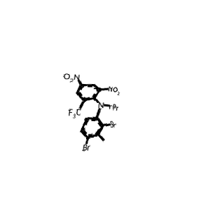 CCCN(c1ccc(Br)c(C)c1Br)c1c([N+](=O)[O-])cc([N+](=O)[O-])cc1C(F)(F)F